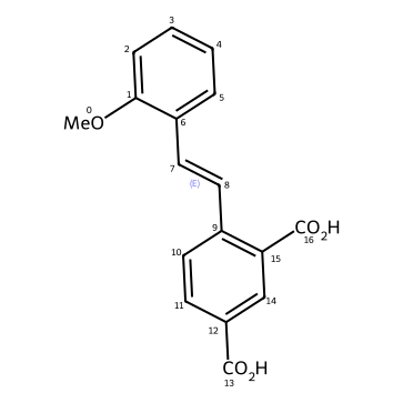 COc1ccccc1/C=C/c1ccc(C(=O)O)cc1C(=O)O